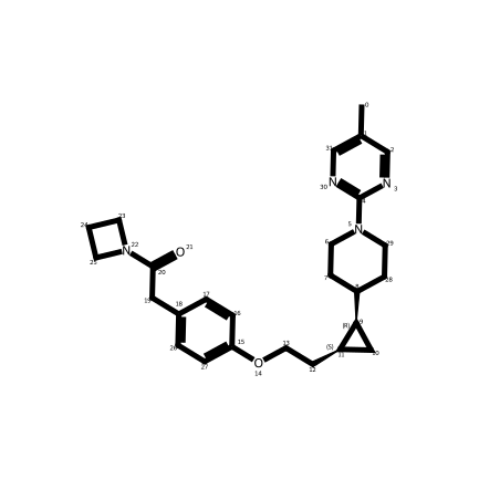 Cc1cnc(N2CCC([C@H]3C[C@H]3CCOc3ccc(CC(=O)N4CCC4)cc3)CC2)nc1